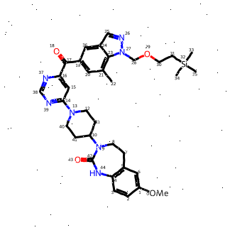 COc1ccc2c(c1)CCN(C1CCN(c3cc(C(=O)c4cc(C)c5c(cnn5COCC[Si](C)(C)C)c4)ncn3)CC1)C(=O)N2